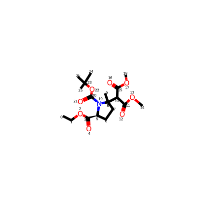 CCOC(=O)[C@@H]1CCC(C)(C(C(=O)OC)C(=O)OC)N1C(=O)OC(C)(C)C